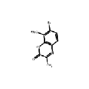 COc1c(Br)ccc2nc(C)c(=O)[nH]c12